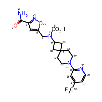 NC(=O)c1cc(CN(C(=O)O)C2CC3(CCN(c4cc(C(F)(F)F)ccn4)CC3)C2)on1